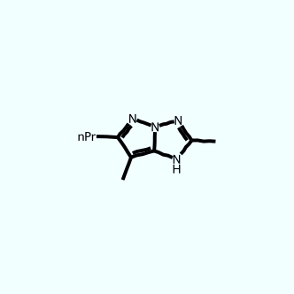 CCCc1nn2nc(C)[nH]c2c1C